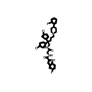 O=C(CNC(=O)c1cc2cc(F)ccc2[nH]1)NCC(CCCN1CCC(c2ccccc2F)CC1)(c1ccc(Cl)cc1)c1ccc(Cl)cc1